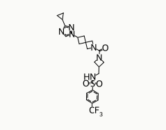 O=C(N1CC(CNS(=O)(=O)c2ccc(C(F)(F)F)cc2)C1)N1CC2(CC(n3cnc(C4CC4)n3)C2)C1